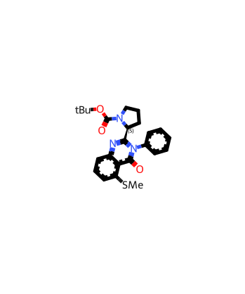 CSc1cccc2nc([C@@H]3CCCN3C(=O)OC(C)(C)C)n(-c3ccccc3)c(=O)c12